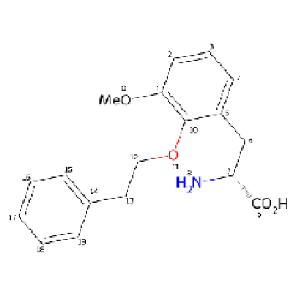 COc1cccc(C[C@@H](N)C(=O)O)c1OCCc1ccccc1